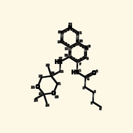 CCCCC(=O)Nc1cnc2cnccc2c1NCC1(C)COC(C)(C)OC1